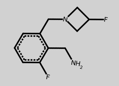 NCc1c(F)cccc1CN1CC(F)C1